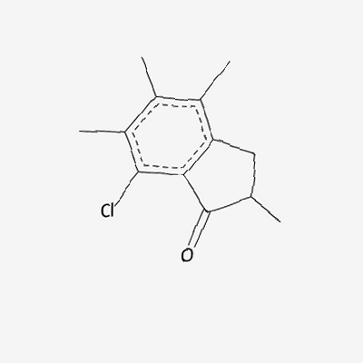 Cc1c(C)c(Cl)c2c(c1C)CC(C)C2=O